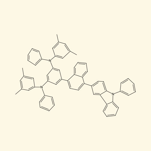 Cc1cc(C)cc(N(c2ccccc2)c2cc(-c3ccc(-c4ccc5c(c4)c4ccccc4n5-c4ccccc4)c4ccccc34)cc(N(c3ccccc3)c3cc(C)cc(C)c3)c2)c1